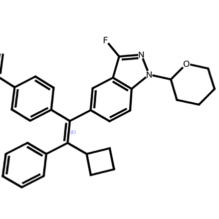 C=Cc1ccc(/C(=C(\c2ccccc2)C2CCC2)c2ccc3c(c2)c(F)nn3C2CCCCO2)cc1